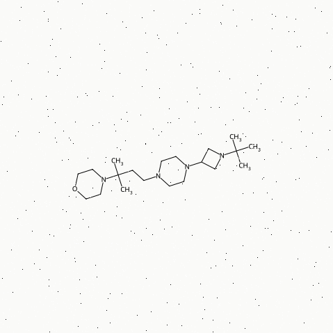 CC(C)(C)N1CC(N2CCN(CCC(C)(C)N3CCOCC3)CC2)C1